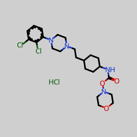 Cl.O=C(NC1CCC(CCN2CCN(c3cccc(Cl)c3Cl)CC2)CC1)ON1CCOCC1